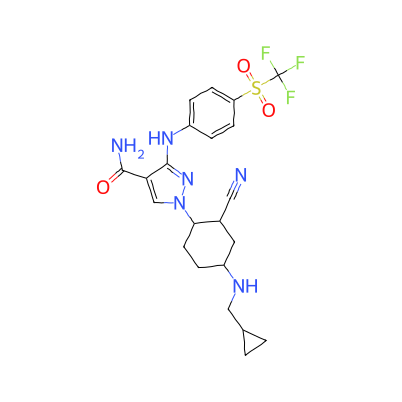 N#CC1CC(NCC2CC2)CCC1n1cc(C(N)=O)c(Nc2ccc(S(=O)(=O)C(F)(F)F)cc2)n1